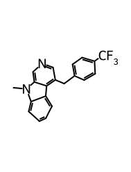 Cn1c2ccccc2c2c(Cc3ccc(C(F)(F)F)cc3)cncc21